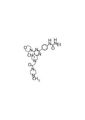 CCNC(=O)Nc1ccc(-c2nc3c(c(N4CCOCC4C)n2)CCN(CC(=O)N2CCN(C)CC2)C3)cc1